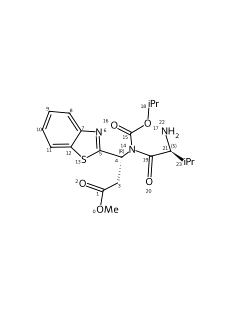 COC(=O)C[C@H](c1nc2ccccc2s1)N(C(=O)OC(C)C)C(=O)[C@@H](N)C(C)C